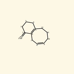 O=C1CCCC2=C1C/C=C\CCC2